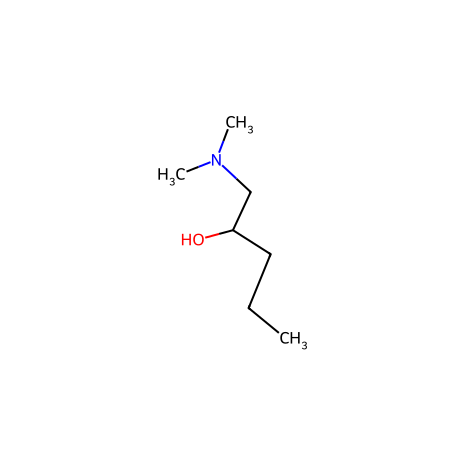 CCCC(O)CN(C)C